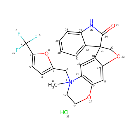 C[N+]1(Cc2ccc(C(F)(F)F)o2)CCOc2cc3c(cc21)C1(CO3)C(=O)Nc2ccccc21.Cl